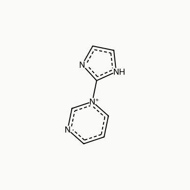 c1cnc[n+](-c2ncc[nH]2)c1